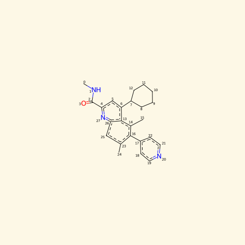 CNC(=O)c1cc(C2CCCCC2)c2c(C)c(-c3ccncc3)c(C)cc2n1